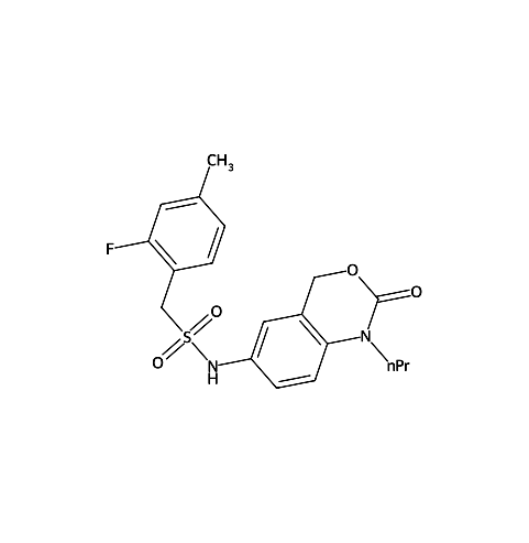 CCCN1C(=O)OCc2cc(NS(=O)(=O)Cc3ccc(C)cc3F)ccc21